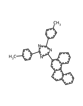 Cc1ccc(-c2nc(-c3ccc(C)cc3)nc(-c3cc4ccc5ccccc5c4c4ccccc34)n2)cc1